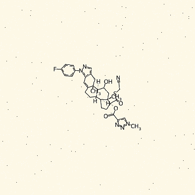 Cn1cc(C(=O)O[C@]2(C(=O)SCC#N)CC[C@H]3[C@@H]4CCC5=Cc6c(cnn6-c6ccc(F)cc6)C[C@]5(C)[C@H]4[C@@H](O)C[C@@]32C)nn1